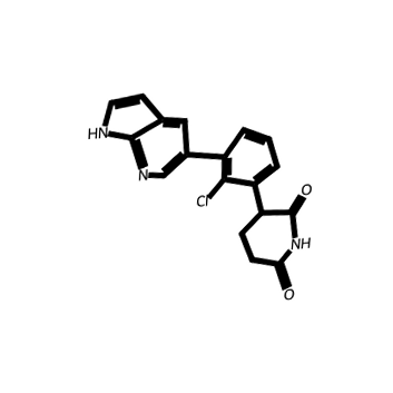 O=C1CCC(c2cccc(-c3cnc4[nH]ccc4c3)c2Cl)C(=O)N1